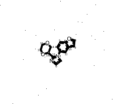 c1cn(-c2ccc3occc3c2)c(C2COCCO2)n1